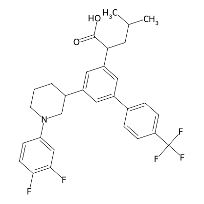 CC(C)CC(C(=O)O)c1cc(-c2ccc(C(F)(F)F)cc2)cc(C2CCCN(c3ccc(F)c(F)c3)C2)c1